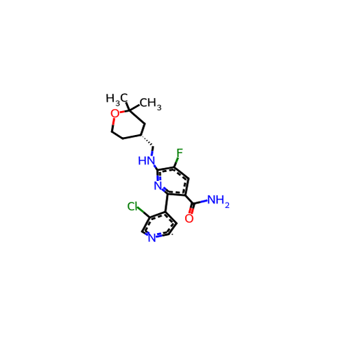 CC1(C)C[C@H](CNc2nc(-c3c[c]ncc3Cl)c(C(N)=O)cc2F)CCO1